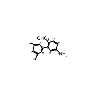 Cc1cc(C)cc(-c2cc(N)ccc2[C]=O)c1